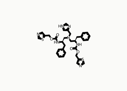 O=C(N[C@H](Cc1ccccc1)CN(Cc1c[nH]cn1)C[C@@H](Cc1ccccc1)NC(=O)OCc1cncs1)OCc1cncs1